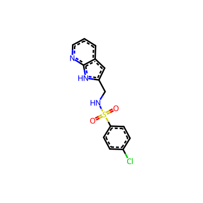 O=S(=O)(NCc1cc2cccnc2[nH]1)c1ccc(Cl)cc1